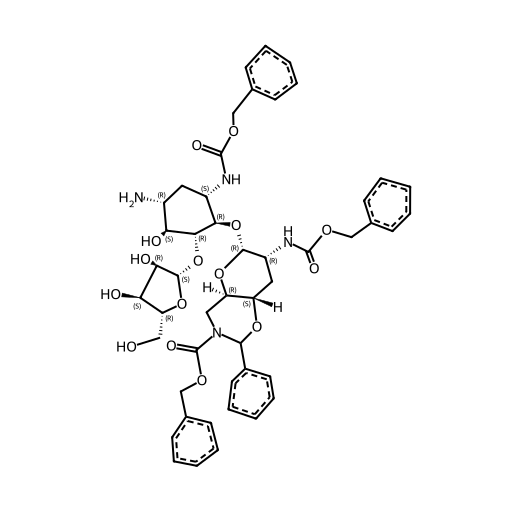 N[C@@H]1C[C@H](NC(=O)OCc2ccccc2)[C@@H](O[C@H]2O[C@@H]3CN(C(=O)OCc4ccccc4)C(c4ccccc4)O[C@H]3C[C@H]2NC(=O)OCc2ccccc2)[C@H](O[C@@H]2O[C@H](CO)[C@@H](O)[C@H]2O)[C@H]1O